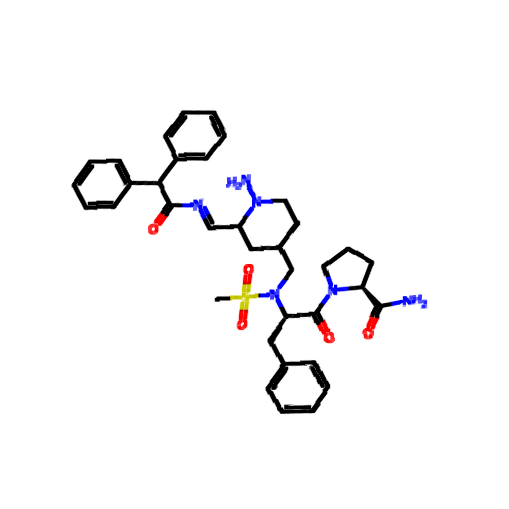 CS(=O)(=O)N(CC1CCN(N)C(C=NC(=O)C(c2ccccc2)c2ccccc2)C1)[C@H](Cc1ccccc1)C(=O)N1CCC[C@H]1C(N)=O